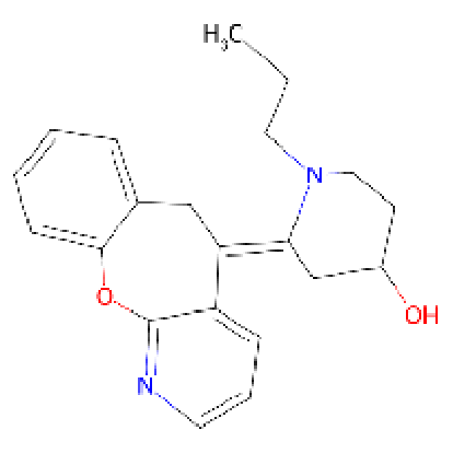 CCCN1CCC(O)C/C1=C1/Cc2ccccc2Oc2ncccc21